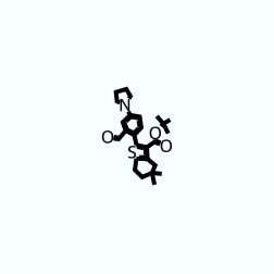 CC1(C)CCc2sc(-c3ccc(N4CCCC4)cc3C=O)c(C(=O)OC(C)(C)C)c2C1